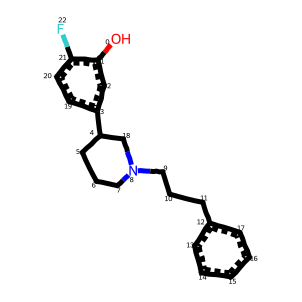 Oc1cc(C2CCCN(CCCc3ccccc3)C2)ccc1F